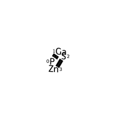 [P]#[Ga].[S]=[Zn]